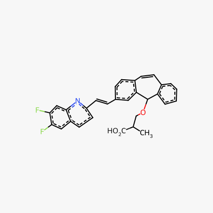 CC(COC1c2ccccc2C=Cc2ccc(/C=C/c3ccc4cc(F)c(F)cc4n3)cc21)C(=O)O